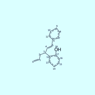 C=CCC(C=Cc1ccccc1)c1ccccc1O